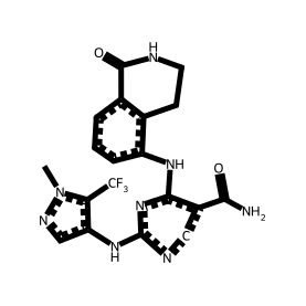 Cn1ncc(Nc2ncc(C(N)=O)c(Nc3cccc4c3CCNC4=O)n2)c1C(F)(F)F